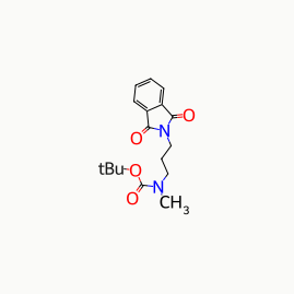 CN(CCCN1C(=O)c2ccccc2C1=O)C(=O)OC(C)(C)C